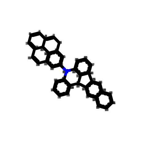 C1=CC2=CCc3cc(N4c5ccccc5B5c6cc7ccccc7cc6-c6cccc4c65)cc4c3C2C(=C1)C=C4